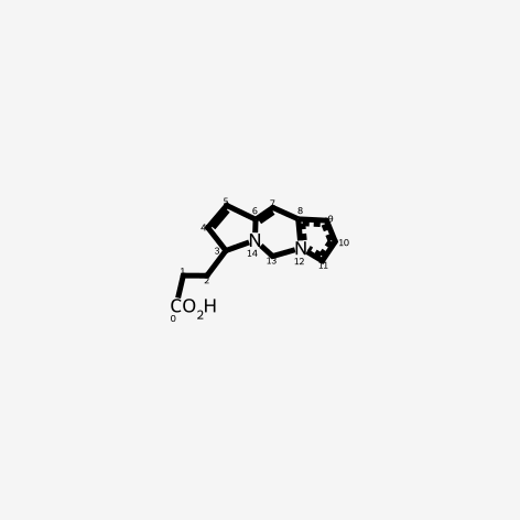 O=C(O)CCC1C=CC2=Cc3cccn3CN21